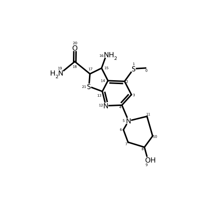 CSc1cc(N2CCC(O)CC2)nc2c1C(N)C(C(N)=O)S2